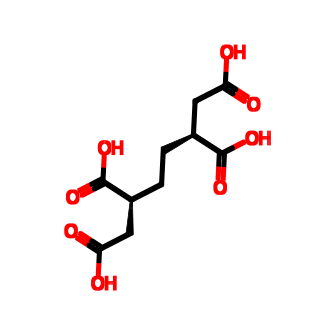 O=C(O)C[C@H](CC[C@@H](CC(=O)O)C(=O)O)C(=O)O